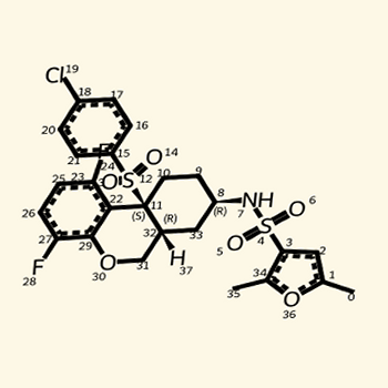 Cc1cc(S(=O)(=O)N[C@@H]2CC[C@@]3(S(=O)(=O)c4ccc(Cl)cc4)c4c(F)ccc(F)c4OC[C@H]3C2)c(C)o1